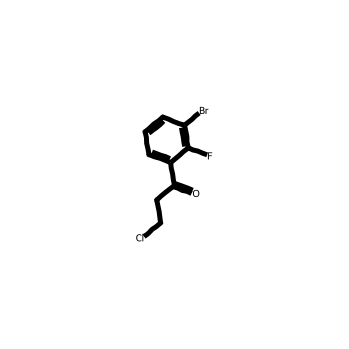 O=C(CCCl)c1cccc(Br)c1F